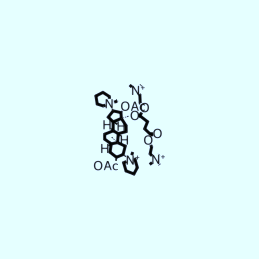 CC(=O)O[C@H]1C[C@@H]2CC[C@@H]3[C@H](CC[C@@]4(C)[C@H]3C[C@H]([N+]3(C)CCCCC3)[C@@H]4OC(C)=O)[C@@]2(C)C[C@@H]1[N+]1(C)CCCCC1.C[N+](C)(C)CCOC(=O)CCC(=O)OCC[N+](C)(C)C